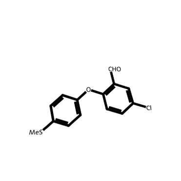 CSc1ccc(Oc2ccc(Cl)cc2C=O)cc1